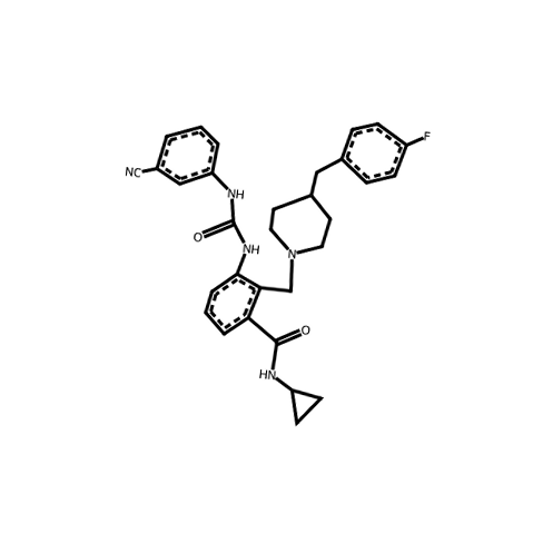 N#Cc1cccc(NC(=O)Nc2cccc(C(=O)NC3CC3)c2CN2CCC(Cc3ccc(F)cc3)CC2)c1